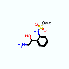 COS(=O)(=O)Nc1ccccc1C(O)CN